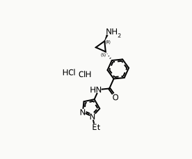 CCn1cc(NC(=O)c2cccc([C@@H]3C[C@H]3N)c2)cn1.Cl.Cl